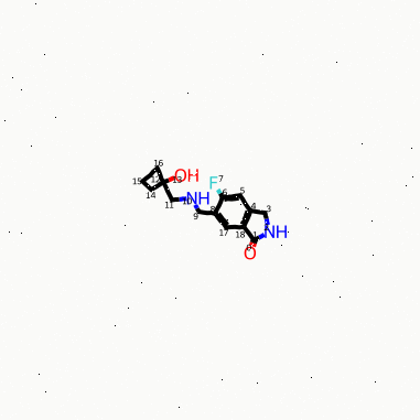 O=C1NCc2cc(F)c(CNCC3(O)CCC3)cc21